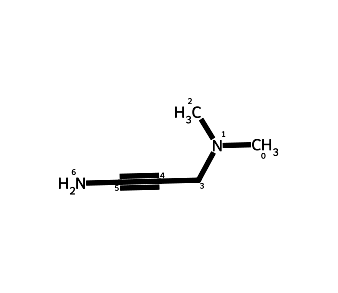 CN(C)CC#CN